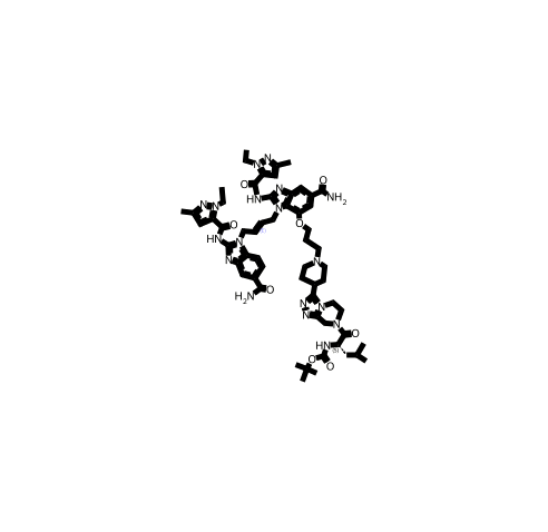 CCn1nc(C)cc1C(=O)Nc1nc2cc(C(N)=O)ccc2n1C/C=C/Cn1c(NC(=O)c2cc(C)nn2CC)nc2cc(C(N)=O)cc(OCCCN3CCC(c4nnc5n4CCN(C(=O)[C@H](CC(C)C)NC(=O)OC(C)(C)C)C5)CC3)c21